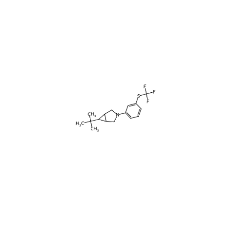 CC(C)(C)C1C2CN(c3cccc(SC(F)(F)F)c3)CC21